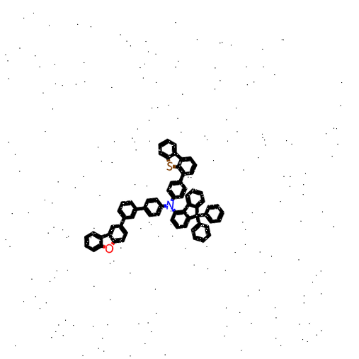 c1ccc(C2(c3ccccc3)c3ccccc3-c3c(N(c4ccc(-c5cccc(-c6ccc7oc8ccccc8c7c6)c5)cc4)c4ccc(-c5cccc6c5sc5ccccc56)cc4)cccc32)cc1